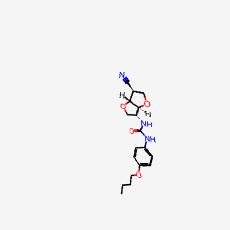 CCCCOc1ccc(NC(=O)N[C@@H]2CO[C@H]3[C@H]2OC[C@@H]3C#N)cc1